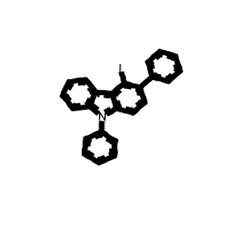 Ic1c(-c2ccccc2)ccc2c1c1ccccc1n2-c1ccccc1